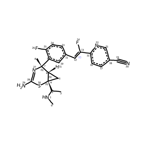 CNC(C)[C@]12C[C@H]1[C@@](C)(c1cc(/C=C(\F)c3ccc(C#N)cn3)ccc1F)N=C(N)S2